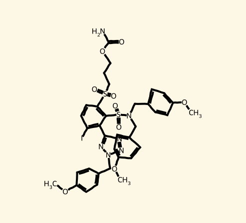 COc1ccc(CN(Cc2ccc(OC)cc2)S(=O)(=O)c2c(S(=O)(=O)CCCOC(N)=O)ccc(I)c2-c2nnn(Cc3ccc(OC)cc3)n2)cc1